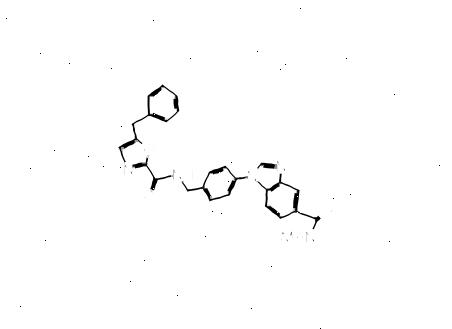 CNC(=O)c1ccc2c(c1)ncn2-c1ccc(CNC(=O)c2ncc(Cc3ccccc3)o2)cc1